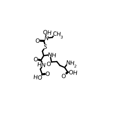 CCN(O)C(=O)SCC(NC(=O)CCC(N)C(=O)O)C(=O)NCC(=O)O